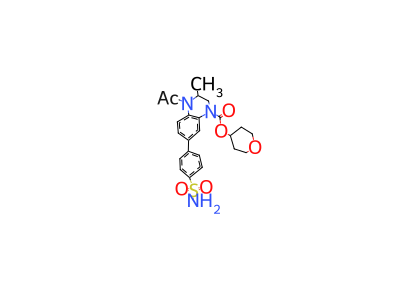 CC(=O)N1c2ccc(-c3ccc(S(N)(=O)=O)cc3)cc2N(C(=O)OC2CCOCC2)CC1C